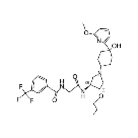 CCCO[C@H]1CN(C2CCC(O)(c3cccc(OC)n3)CC2)C[C@@H]1NC(=O)CNC(=O)c1cccc(C(F)(F)F)c1